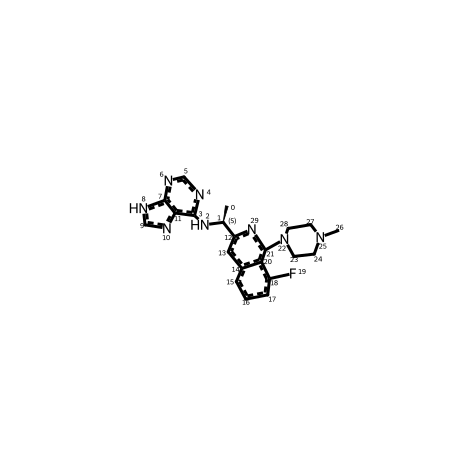 C[C@H](Nc1ncnc2[nH]cnc12)c1cc2cccc(F)c2c(N2CCN(C)CC2)n1